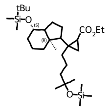 CCOC(=O)C1CC1(CCCC(C)(C)O[Si](C)(C)C)C1CCC2[C@@H](O[Si](C)(C)C(C)(C)C)CCC[C@@]21C